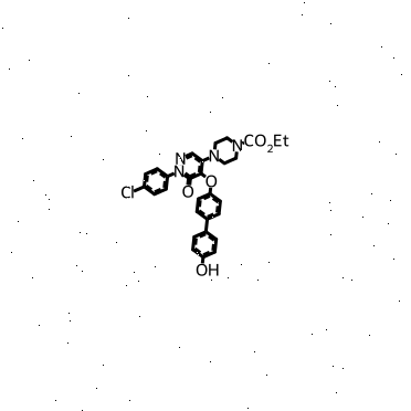 CCOC(=O)N1CCN(c2cnn(-c3ccc(Cl)cc3)c(=O)c2Oc2ccc(-c3ccc(O)cc3)cc2)CC1